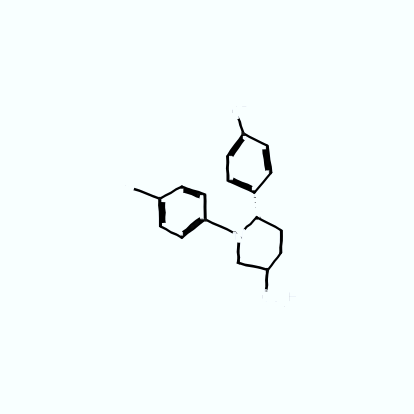 CC(C)c1ccc(N2CC(C(=O)O)CC[C@H]2c2ccc(C(F)(F)F)cc2)cc1